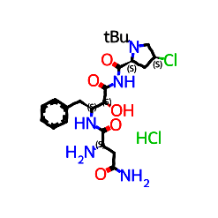 CC(C)(C)N1C[C@@H](Cl)C[C@H]1C(=O)NC(=O)[C@@H](O)[C@H](Cc1ccccc1)NC(=O)[C@@H](N)CC(N)=O.Cl